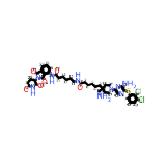 NCC1(CCCCCC(=O)NCCCCCC(=O)Nc2cccc3c2C(=O)N(C2CCC(=O)NC2=O)C3=O)CCN(c2cnc(Sc3cccc(Cl)c3Cl)c(N)n2)CC1